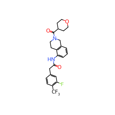 O=C(Cc1ccc(C(F)(F)F)c(F)c1)Nc1cccc2c1CCN(C(=O)C1CCOCC1)C2